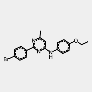 CCOc1ccc(Nc2cc(C)nc(-c3ccc(Br)cc3)n2)cc1